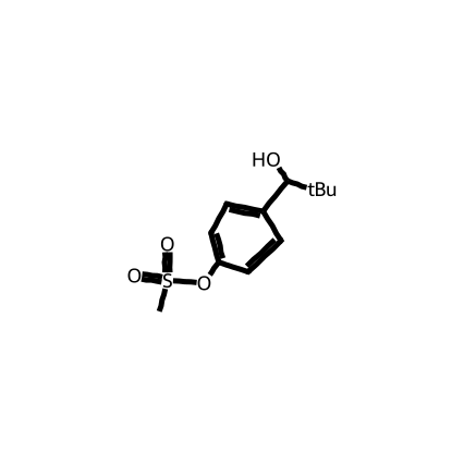 CC(C)(C)C(O)c1ccc(OS(C)(=O)=O)cc1